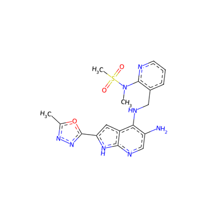 Cc1nnc(-c2cc3c(NCc4cccnc4N(C)S(C)(=O)=O)c(N)cnc3[nH]2)o1